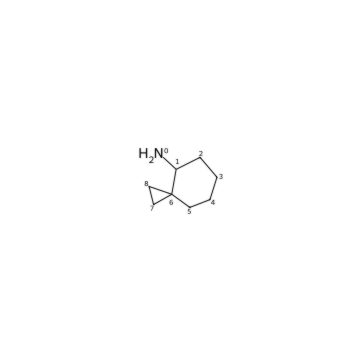 NC1CCCCC12CC2